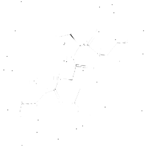 CC(C)C[C@H](NC(=O)[C@H](CCC(=O)O)NC(=O)[C@@H](N)CCS)C(=O)N[C@H](CS)C(=O)O